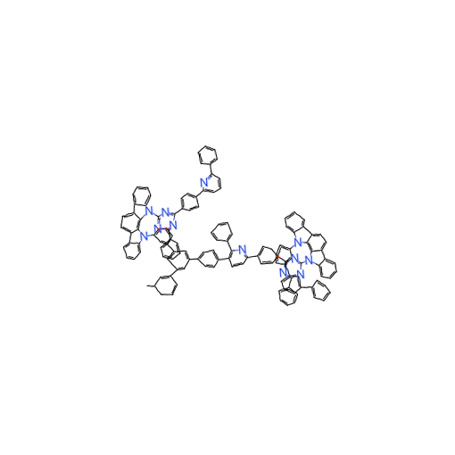 CC1C=C(c2cc(-c3ccc(-c4ccc(C5=CCC(C)(c6nc(-c7ccccc7)nc(-n7c8ccccc8c8ccc9c%10ccccc%10n(-c%10cccc(-c%11cccc(-c%12ccccc%12)c%11)c%10)c9c87)n6)C=C5)nc4-c4ccccc4)cc3)cc(-c3cccc(-n4c5ccccc5c5ccc6c7ccccc7n(-c7nc(-c8ccccc8)nc(-c8ccc(-c9cccc(-c%10ccccc%10)n9)cc8)n7)c6c54)c3)c2)C=CC1